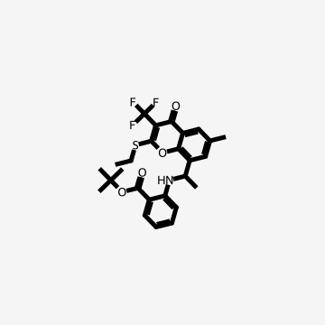 CCSc1oc2c(C(C)Nc3ccccc3C(=O)OC(C)(C)C)cc(C)cc2c(=O)c1C(F)(F)F